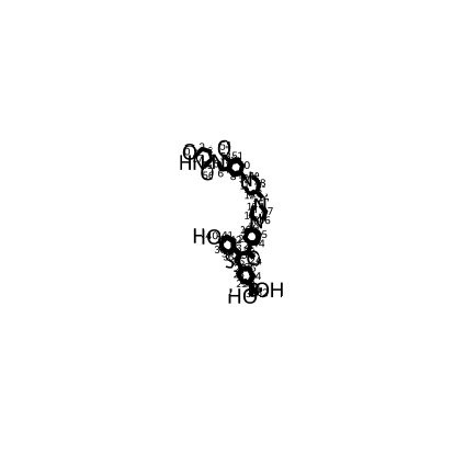 O=C1CCC(N2Cc3cc(N4CCC(CN5CCN(c6ccc(C(=O)c7c(-c8ccc(B(O)O)cc8)sc8cc(O)ccc78)cc6)CC5)CC4)ccc3C2=O)C(=O)N1